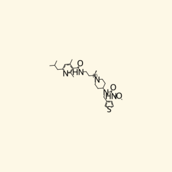 CONC(=O)N(Cc1ccsc1)C1CCN([C@H](C)CCNC(=O)c2c(C)cc(CC(C)C)nc2C)CC1